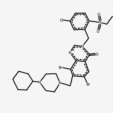 CCS(=O)(=O)c1ccc(Cl)cc1Cn1cnc2c(Br)c(CN3CCN(C4CCCCC4)CC3)c(Br)cc2c1=O